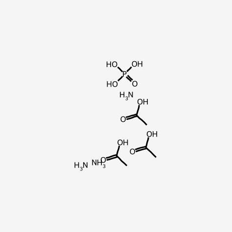 CC(=O)O.CC(=O)O.CC(=O)O.N.N.N.O=P(O)(O)O